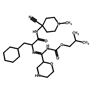 CC(C)COC(=O)NC(=NC(CC1CCCCC1)C(=O)NC1(C#N)CCN(C)CC1)C1CNCCO1